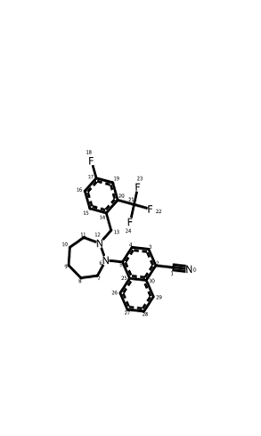 N#Cc1ccc(N2CCCCCN2Cc2ccc(F)cc2C(F)(F)F)c2ccccc12